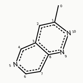 Cc1cc2cnccc2nn1